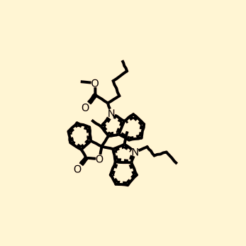 CCCCC(C(=O)OC)n1c(C)c(C2(c3c(C)n(CCCC)c4ccccc34)OC(=O)c3ccccc32)c2ccccc21